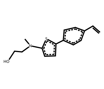 C=Cc1ccc(-c2ccc(N(C)CCO)s2)cc1